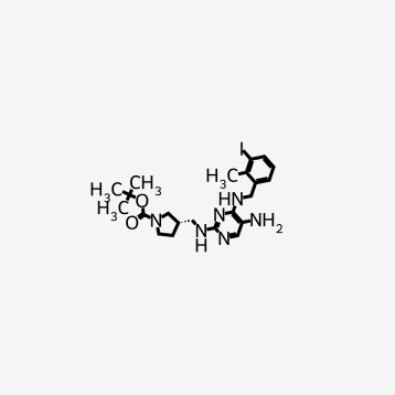 Cc1c(I)cccc1CNc1nc(NC[C@@H]2CCN(C(=O)OC(C)(C)C)C2)ncc1N